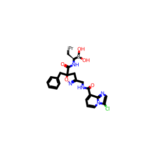 CC(C)C[C@H](NC(=O)C1(Cc2ccccc2)CC(CNC(=O)c2cccn3c(Cl)cnc23)=NO1)B(O)O